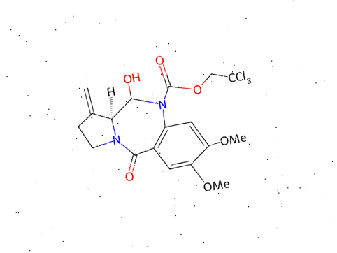 C=C1CCN2C(=O)c3cc(OC)c(OC)cc3N(C(=O)OCC(Cl)(Cl)Cl)C(O)[C@H]12